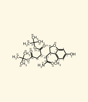 Cc1cc(O)cc2c1C([C@H](C(N)=O)C(CC(=O)OC(C)(C)C)C(=O)OC(C)(C)C)CO2